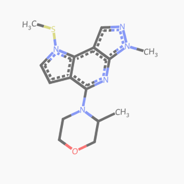 CSn1ccc2c(N3CCOCC3C)nc3c(cnn3C)c21